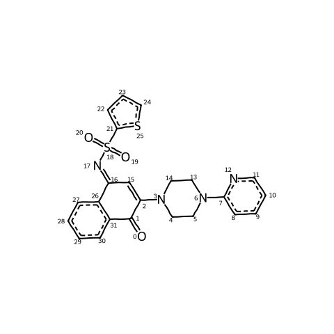 O=C1C(N2CCN(c3ccccn3)CC2)=C/C(=N\S(=O)(=O)c2cccs2)c2ccccc21